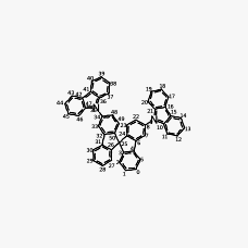 c1ccc2c(c1)-c1cc(-n3c4ccccc4c4ccccc43)ccc1C21c2ccccc2-c2cc(-n3c4ccccc4c4ccccc43)ccc21